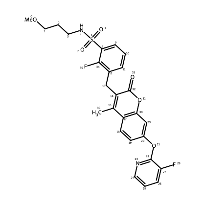 COCCCNS(=O)(=O)c1cccc(Cc2c(C)c3ccc(Oc4ncccc4F)cc3oc2=O)c1F